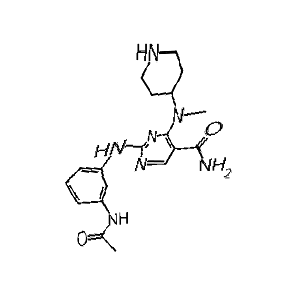 CC(=O)Nc1cccc(Nc2ncc(C(N)=O)c(N(C)C3CCNCC3)n2)c1